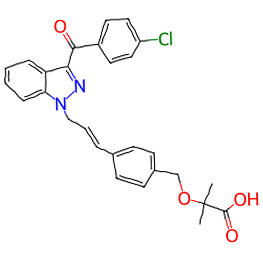 CC(C)(OCc1ccc(/C=C/Cn2nc(C(=O)c3ccc(Cl)cc3)c3ccccc32)cc1)C(=O)O